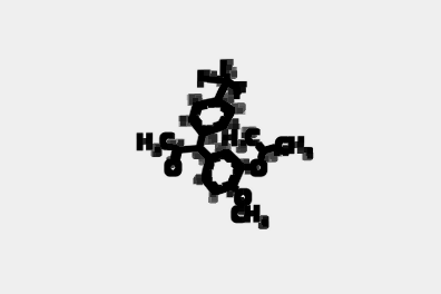 COc1ccc(C(C(C)=O)c2ccc(C(F)(F)F)cc2)cc1OC(C)C